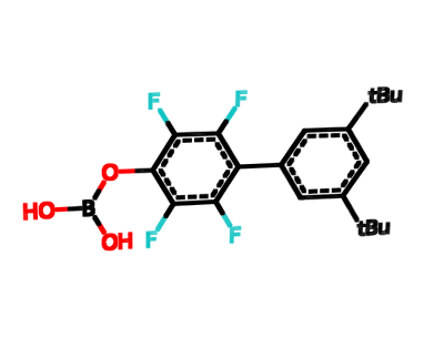 CC(C)(C)c1cc(-c2c(F)c(F)c(OB(O)O)c(F)c2F)cc(C(C)(C)C)c1